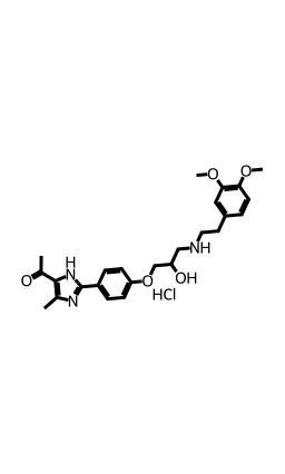 COc1ccc(CCNCC(O)COc2ccc(-c3nc(C)c(C(C)=O)[nH]3)cc2)cc1OC.Cl